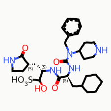 O=C1NCC[C@H]1C[C@H](NC(=O)[C@H](CC1CCCCC1)NC(=O)N(Cc1ccccc1)C1CCNCC1)C(O)S(=O)(=O)O